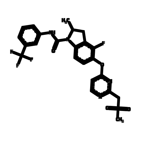 CC1Cc2c(ccc(Oc3ccnc(CS(C)(=O)=O)n3)c2F)N1C(=O)Nc1cccc(C(F)(F)F)c1